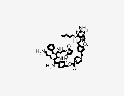 CCCCCNc1nc(N)nc2ccn(Cc3ccc(CN4CCN(C(=O)OCc5ccc(C(N)[C@H](CCCCN)C(N)[C@@H](Cc6ccccc6)C(N)CCN6C(=O)C=CC6=O)cc5)CC4)cc3OC)c12